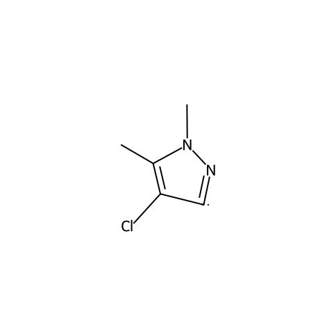 Cc1c(Cl)[c]nn1C